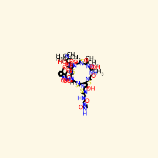 CO/C(C)=C1/NC(=O)[C@H]([C@@H](C)O)NC(=O)c2csc(n2)-c2cc(O)c(-c3nc(CNC(=O)CN4CCNC4=O)cs3)nc2-c2csc(n2)[C@@H]2COC(=O)c3c4c5c(cccc5n3O)COC(=O)[C@@H](O[C@H]3C[C@](C)(O)[C@H](N(C)C)[C@H](C)O3)[C@@H](OC4)[C@H](NC(=O)c3csc1n3)c1nc(cs1)C(=O)N2